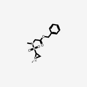 CN(CC(=O)OCc1ccccc1)S(=O)(=O)C1C[N@]1C